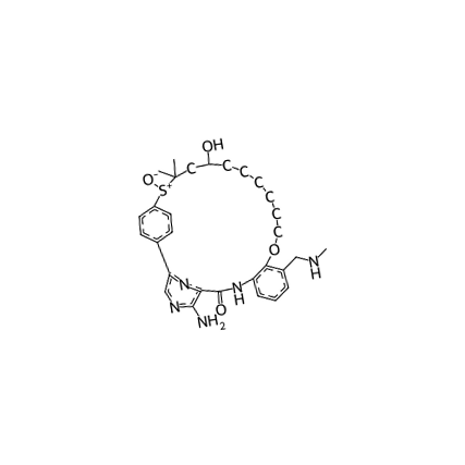 CNCc1cccc2c1OCCCCCCC(O)CC(C)(C)[S+]([O-])c1ccc(cc1)-c1cnc(N)c(n1)C(=O)N2